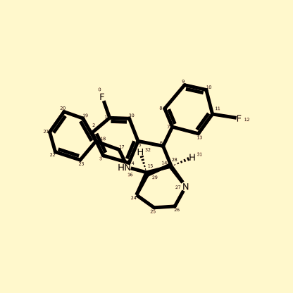 Fc1cccc(C(c2cccc(F)c2)[C@@H]2[C@H](NCc3ccccc3)C3CCN2CC3)c1